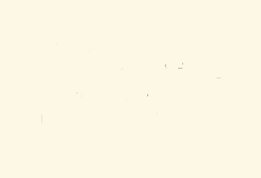 Fc1ccc(OCc2cccc(F)c2)cc1